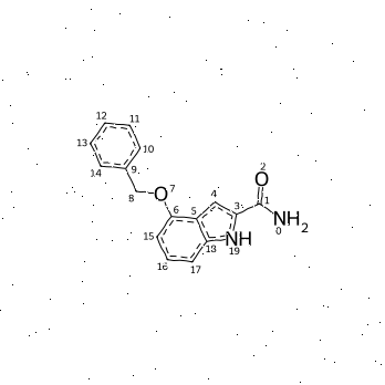 NC(=O)c1cc2c(OCc3ccccc3)cccc2[nH]1